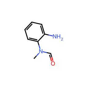 CN(C=O)c1ccccc1N